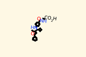 Cc1oc(-c2ccccc2)cc1C(Nc1ccc(C(=O)NCCC(=O)O)cc1)C1CCC1